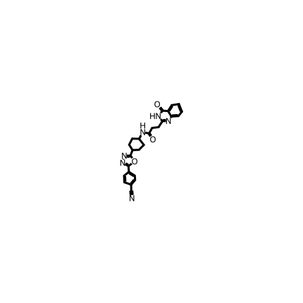 N#Cc1ccc(-c2nnc(C3CCC(NC(=O)CCc4nc5ccccc5c(=O)[nH]4)CC3)o2)cc1